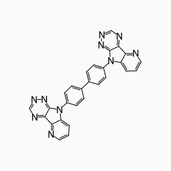 c1cnc2c3ncnnc3n(-c3ccc(-c4ccc(-n5c6cccnc6c6ncnnc65)cc4)cc3)c2c1